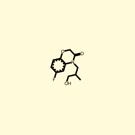 CC(CO)CN1C(=O)COc2ccc(F)cc21